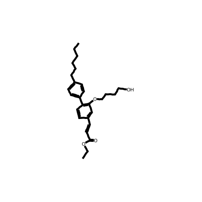 CCCCCCc1ccc(-c2ccc(/C=C/C(=O)OCC)cc2OCCCCO)cc1